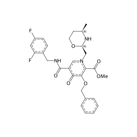 COC(=O)c1c(OCc2ccccc2)c(=O)c(C(=O)NCc2ccc(F)cc2F)cn1C[C@@H]1N[C@H](C)CCO1